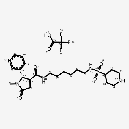 CN1C(=O)C[C@H](C(=O)NCCCCCCNS(=O)(=O)C2CCNCC2)[C@H]1c1cccnc1.O=C(O)C(F)(F)F